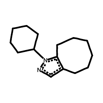 c1nn(C2CCCCC2)c2c1CCCCCC2